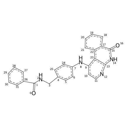 O=C(NCc1ccc(Nc2ccnc3[nH]c(=O)c4ccccc4c23)cc1)c1ccccc1